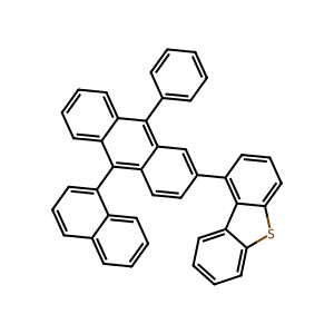 c1ccc(-c2c3ccccc3c(-c3cccc4ccccc34)c3ccc(-c4cccc5sc6ccccc6c45)cc23)cc1